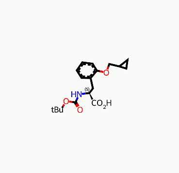 CC(C)(C)OC(=O)N[C@@H](Cc1ccccc1OCC1CC1)C(=O)O